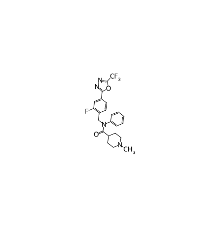 CN1CCC(C(=O)N(Cc2ccc(-c3nnc(C(F)(F)F)o3)cc2F)c2ccccc2)CC1